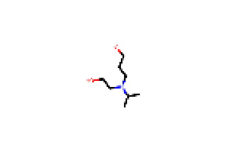 CC(C)N(CCO)CCC[O]